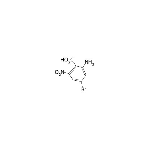 Nc1cc(Br)cc([N+](=O)[O-])c1C(=O)O